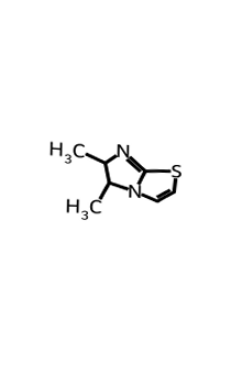 CC1N=C2SC=CN2C1C